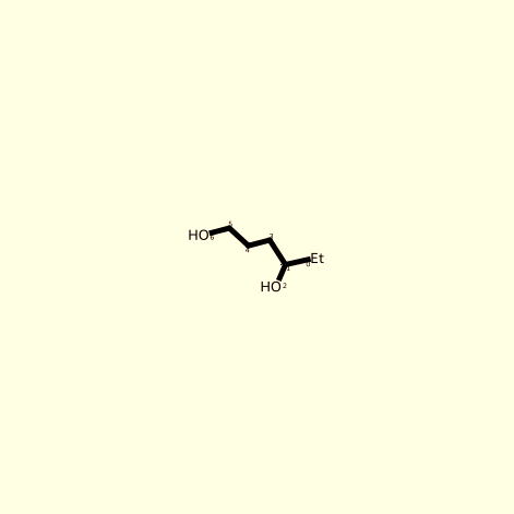 CC[C](O)CCCO